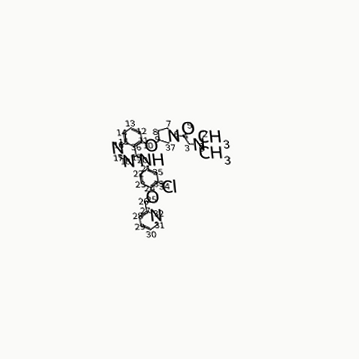 CN(C)CC(=O)N1CCC(Oc2cccc3ncnc(Nc4ccc(OCc5ccccn5)c(Cl)c4)c23)C1